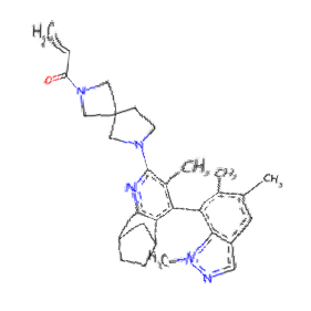 C=CC(=O)N1CC2(CCN(c3nc4c(c(-c5c(C)c(C)cc6cnn(C)c56)c3C)C3CCC4C3)C2)C1